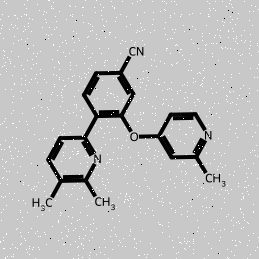 Cc1cc(Oc2cc(C#N)ccc2-c2ccc(C)c(C)n2)ccn1